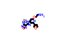 CCn1c(-c2nonc2N)nc2c(-c3ccoc3)nc(OCCN)cc21